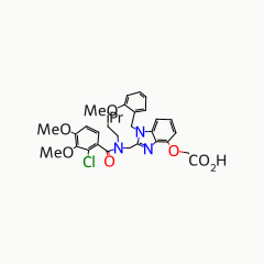 COc1ccccc1Cn1c(CN(CCC(C)C)C(=O)c2ccc(OC)c(OC)c2Cl)nc2c(OCC(=O)O)cccc21